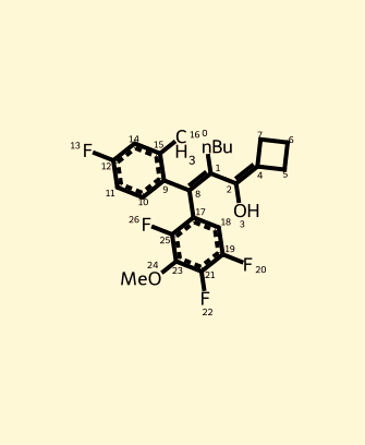 CCCC/C(C(O)=C1CCC1)=C(\c1ccc(F)cc1C)c1cc(F)c(F)c(OC)c1F